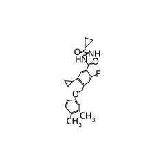 Cc1ccc(OCc2cc(F)c(C(=O)NS(=N)(=O)C3CC3)cc2C2CC2)cc1C